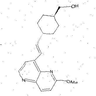 COc1ccc2nccc(C=C[C@H]3CC[C@H](CO)CC3)c2n1